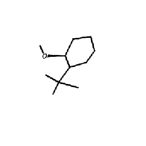 CO[C@H]1CCCCC1C(C)(C)C